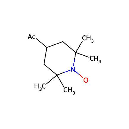 CC(=O)C1CC(C)(C)N([O])C(C)(C)C1